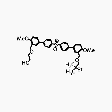 CCC(C)(C)COCc1cc(-c2ccc(S(=O)(=O)c3ccc(-c4ccc(OC)c(COCCO)c4)cc3)cc2)ccc1OC